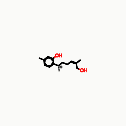 CC(=CCC[C@H](C)c1ccc(C)cc1O)CO